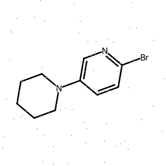 Brc1ccc(N2CCCCC2)cn1